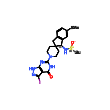 CSc1ccc2c(c1)[C@@H](N[S@+]([O-])C(C)(C)C)C1(CCN(c3nc4[nH]nc(I)c4c(=O)[nH]3)CC1)C2